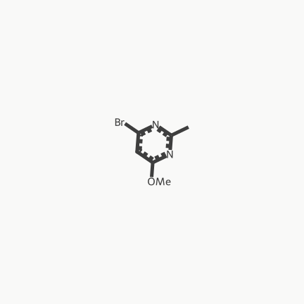 COc1cc(Br)nc(C)n1